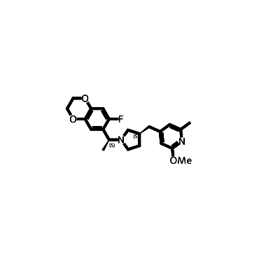 COc1cc(C[C@H]2CCN([C@@H](C)c3cc4c(cc3F)OCCO4)C2)cc(C)n1